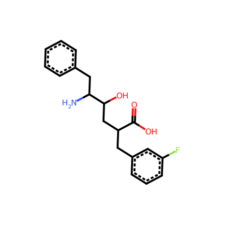 NC(Cc1ccccc1)C(O)CC(Cc1cccc(F)c1)C(=O)O